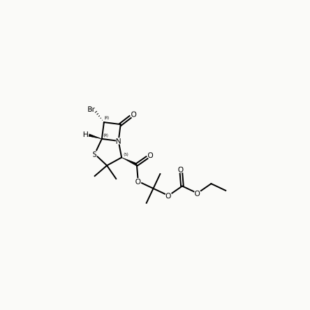 CCOC(=O)OC(C)(C)OC(=O)[C@@H]1N2C(=O)[C@@H](Br)[C@H]2SC1(C)C